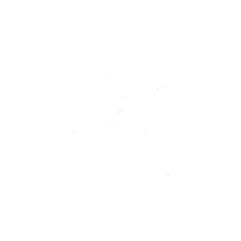 COC(C)OC(C)O[Si](CCCOC(=O)c1ccncc1)(OC(C)OC(C)OC)OC(C)OC(C)OC